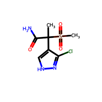 CC(C(N)=O)(c1c[nH]nc1Cl)S(C)(=O)=O